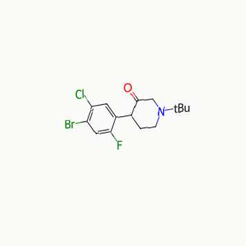 CC(C)(C)N1CCC(c2cc(Cl)c(Br)cc2F)C(=O)C1